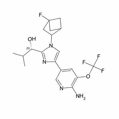 CC(C)[C@H](O)c1nc(-c2cnc(N)c(OC(F)(F)F)c2)cn1C1CC2(F)CC1C2